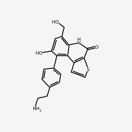 NCCc1ccc(-c2c(O)cc(CO)c3[nH]c(=O)c4sccc4c23)cc1